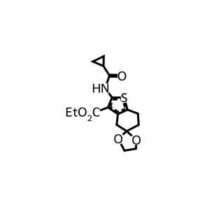 CCOC(=O)c1c(NC(=O)C2CC2)sc2c1CC1(CC2)OCCO1